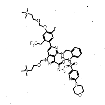 CN(c1ccccc1CNc1nc(-c2cc(F)c(OCOCC[Si](C)(C)C)cc2CC(F)(F)F)cc2c1c(C(N)=O)nn2COCC[Si](C)(C)C)S(=O)(=O)c1ccc(N2CCOCC2)nc1